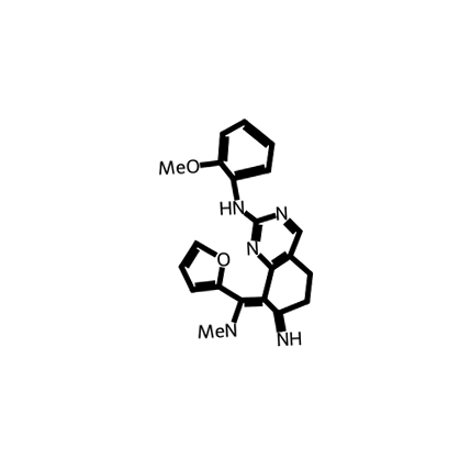 CN/C(=C1\C(=N)CCc2cnc(Nc3ccccc3OC)nc21)c1ccco1